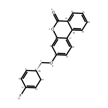 O=c1oc2cc(OC[C@H]3C=CC(F)=CC3)ccc2c2ccccc12